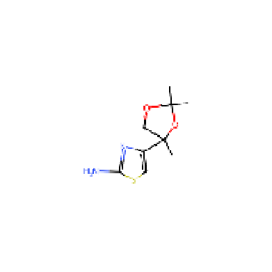 CC1(C)OCC(C)(c2csc(N)n2)O1